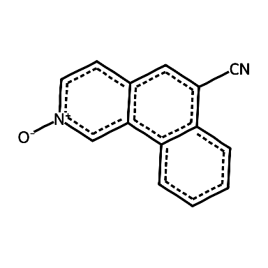 N#Cc1cc2cc[n+]([O-])cc2c2ccccc12